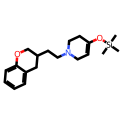 C[Si](C)(C)OC1=CCN(CCC2COc3ccccc3C2)CC1